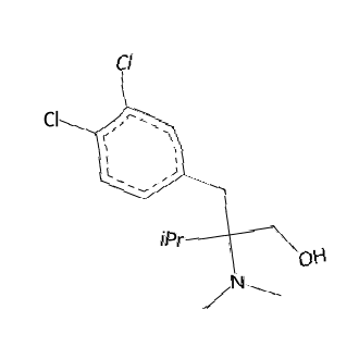 CC(C)C(CO)(Cc1ccc(Cl)c(Cl)c1)N(C)C